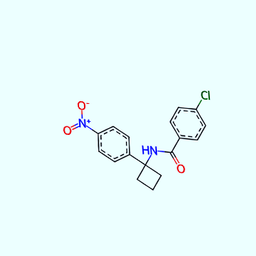 O=C(NC1(c2ccc([N+](=O)[O-])cc2)CCC1)c1ccc(Cl)cc1